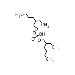 CCCCC(CC)COOP(=O)(O)OCC(CC)CCCC